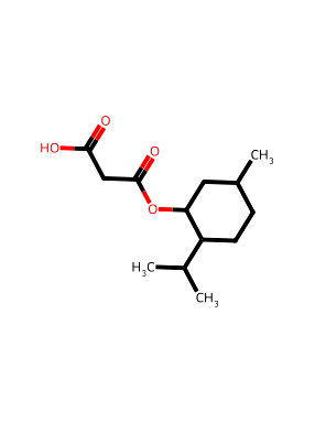 CC1CCC(C(C)C)C(OC(=O)CC(=O)O)C1